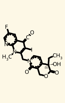 CC[C@@]1(O)C(=O)OCc2c1ccn(CC1=C(I)C(=C=O)c3cc(F)cnc3N1C)c2=O